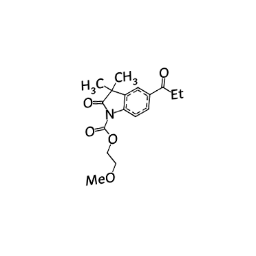 CCC(=O)c1ccc2c(c1)C(C)(C)C(=O)N2C(=O)OCCOC